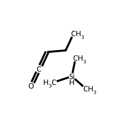 CCC=C=O.C[SiH](C)C